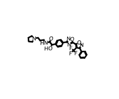 O=C(NCCCN1CCCC1)C(O)c1ccc(-c2noc(-c3onc(-c4ccccc4)c3C(F)(F)F)n2)cc1